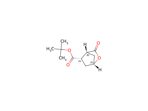 CC(C)(C)OC(=O)[C@H]1C[C@@H]2C[C@H]1C(=O)O2